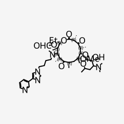 CC[C@H]1OC(=O)[C@H](C)C(=O)[C@H](C)[C@@H](OC2OC(C)CC(N(C)C)C2O)[C@](C)(OC)C[C@@H](C)C(=O)[C@H](C)[C@@H](N(C)CCCCn2cnc(-c3cccnc3)c2)[C@]1(C)OC=O